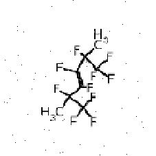 CC(F)(/C(F)=C(\F)C(C)(F)C(F)(F)F)C(F)(F)F